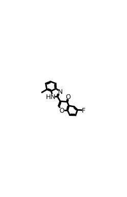 Cc1cccc2nc(-c3coc4ccc(F)cc4c3=O)[nH]c12